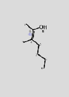 CCCC/C(C)=C(/C)O